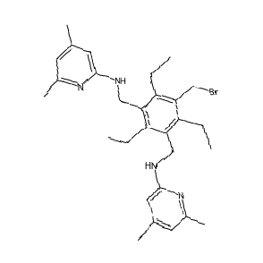 CCc1c(CBr)c(CC)c(CNc2cc(C)cc(C)n2)c(CC)c1CNc1cc(C)cc(C)n1